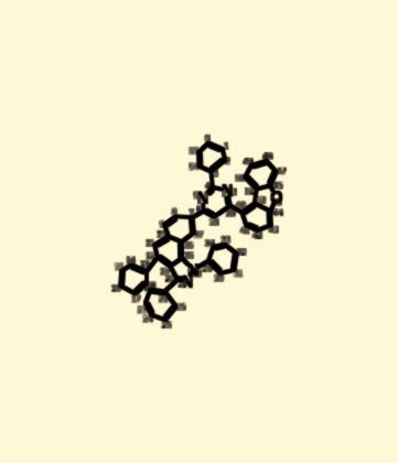 c1ccc(-c2nc(-c3ccc4cc(-c5ccccc5)c5c(-c6ccccc6)nn(-c6ccccc6)c5c4c3)cc(-c3cccc4oc5ccccc5c34)n2)cc1